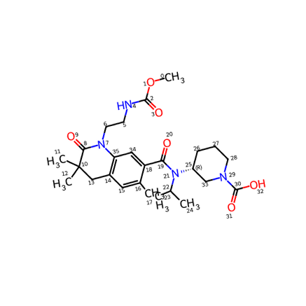 COC(=O)NCCN1C(=O)C(C)(C)Cc2cc(C)c(C(=O)N(C(C)C)[C@@H]3CCCN(C(=O)O)C3)cc21